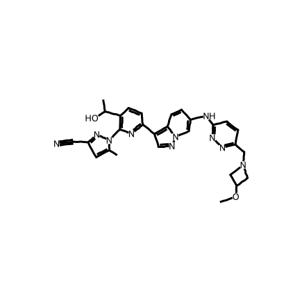 COC1CN(Cc2ccc(Nc3ccc4c(-c5ccc(C(C)O)c(-n6nc(C#N)cc6C)n5)cnn4c3)nn2)C1